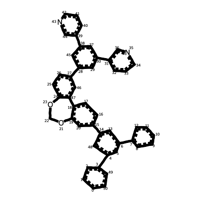 c1ccc(-c2cc(-c3ccccc3)cc(-c3ccc4c(c3)OCOc3ccc(-c5cc(-c6cccnc6)cc(-c6cccnc6)c5)cc3-4)c2)cc1